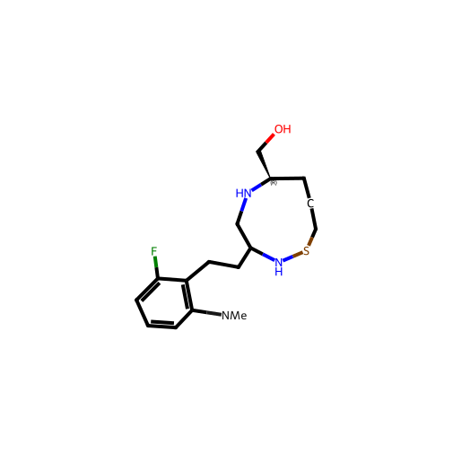 CNc1cccc(F)c1CCC1CN[C@@H](CO)CCCSN1